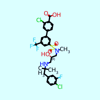 CN(C[C@H](O)CNC(C)(C)Cc1ccc(Cl)c(F)c1)S(=O)(=O)c1cc(-c2ccc(C(=O)O)c(Cl)c2)cc(C(F)(F)F)c1